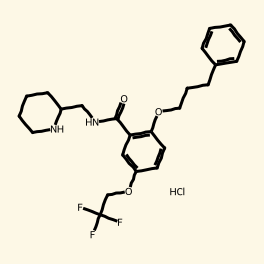 Cl.O=C(NCC1CCCCN1)c1cc(OCC(F)(F)F)ccc1OCCCc1ccccc1